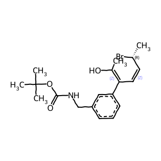 C/C(O)=C(\C=C/[C@@H](C)Br)c1cccc(CNC(=O)OC(C)(C)C)c1